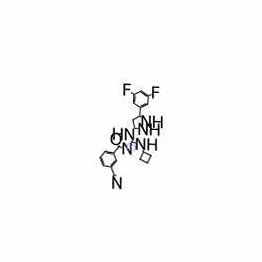 N#Cc1cccc(C(=O)/N=C(/NC2CCC2)NC2CC(c3cc(F)cc(F)c3)NN2)c1